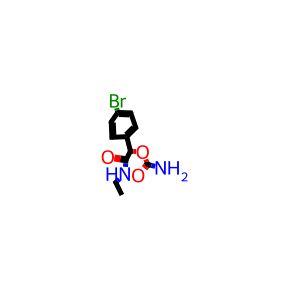 CCNC(=O)C(OC(N)=O)c1ccc(Br)cc1